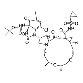 CC1=CC(Cl)=C(N(C(=O)O)[C@@H]2C[C@H]3C(=O)N[C@]4(C(=O)NS(=O)(=O)C5(C)CC5)C[C@H]4/C=C\CC[C@@H](C)C[C@@H](C)CCN3C2)[C@](C)(NC(=O)OC(C)(C)C)C1=O